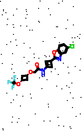 O=C(CO[C@H]1C[C@@H](OC(F)(F)F)C1)NC12CC(c3nc4cc(Cl)ccc4o3)(C1)C2